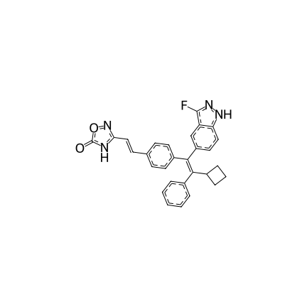 O=c1[nH]c(/C=C/c2ccc(/C(=C(\c3ccccc3)C3CCC3)c3ccc4[nH]nc(F)c4c3)cc2)no1